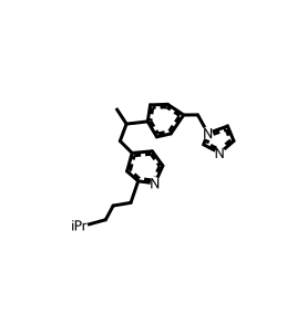 CC(C)CCCc1cc(CC(C)c2ccc(Cn3ccnc3)cc2)ccn1